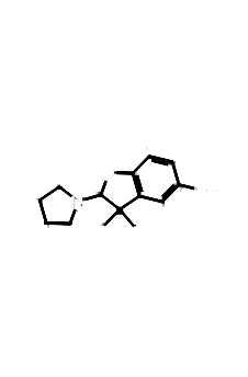 CC1(C)c2cc(O)ccc2OC1N1CCCC1